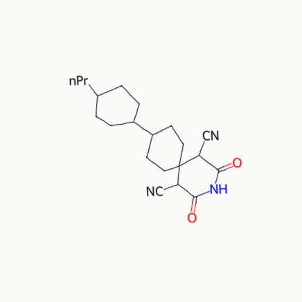 CCCC1CCC(C2CCC3(CC2)C(C#N)C(=O)NC(=O)C3C#N)CC1